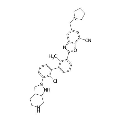 Cc1c(-c2nc3cc(CN4CCCC4)cc(C#N)c3o2)cccc1-c1cccc(N2C=C3CCNCC3N2)c1Cl